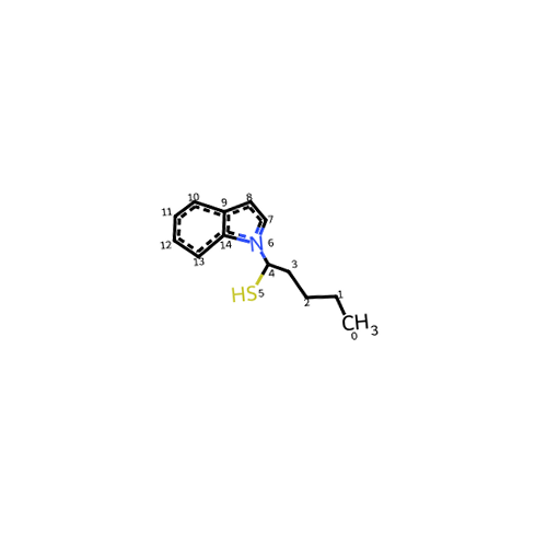 CCCCC(S)n1ccc2ccccc21